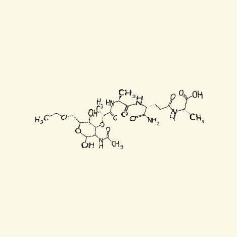 CCOCC1OC(O)C(NC(C)=O)C(O[C@H](C)C(=O)N[C@@H](C)C(=O)N[C@H](CCC(=O)N[C@@H](C)C(=O)O)C(N)=O)C1O